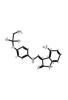 CCC(CC)(CN)Oc1ccc(NC=C2C(=O)Nc3cccc(C)c32)cc1